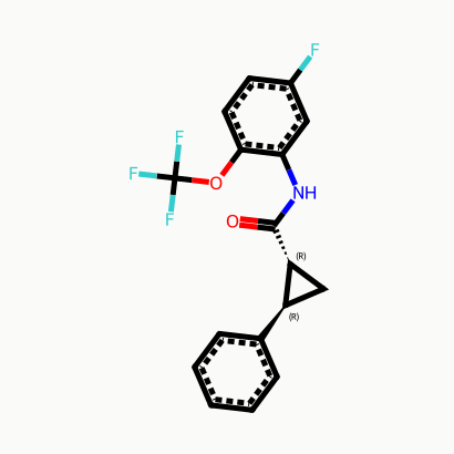 O=C(Nc1cc(F)ccc1OC(F)(F)F)[C@@H]1C[C@H]1c1ccccc1